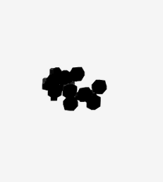 Cc1ccc2c(c1)N(c1ccc3c(c1)c1ccccc1n3-c1ccc3c(c1)c1ccccc1n3-c1ccccc1)c1c(ccc3c1sc1ccccc13)C21c2ccsc2-c2sccc21